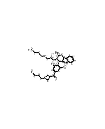 CCCCOC[C@H](F)CN1[C@H](c2c(F)cc(C(=O)C3CN(CCCF)C3)cc2F)c2[nH]c3ccccc3c2C[C@H]1C